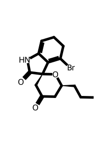 CCC[C@H]1CC(=O)C[C@@]2(O1)C(=O)NC1=CCCC(Br)=C12